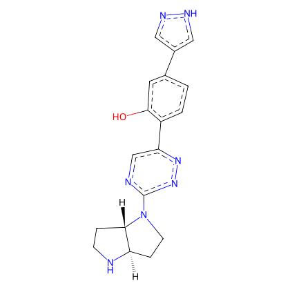 Oc1cc(-c2cn[nH]c2)ccc1-c1cnc(N2CC[C@H]3NCC[C@@H]32)nn1